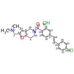 CN(C)Cc1cc2c(o1)CCN(C(=O)c1ccc(C=Cc3ccc(Cl)cc3)cc1)C2.Cl